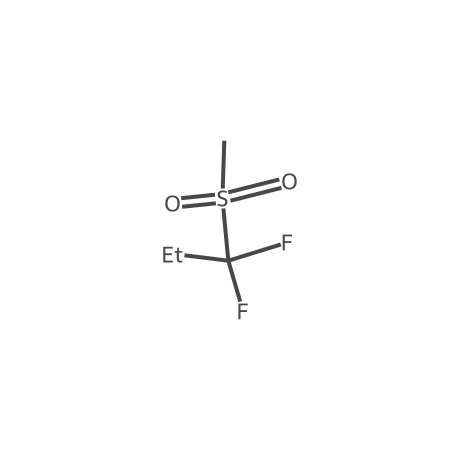 CCC(F)(F)S(C)(=O)=O